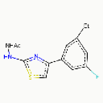 CCc1cc(F)cc(-c2csc(NNC(C)=O)n2)c1